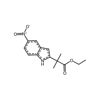 CCOC(=O)C(C)(C)c1cc2cc([N+](=O)[O-])ccc2[nH]1